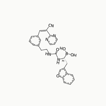 N#CC(=Cc1cccc(CCNC(=O)N[C@@H](Cc2coc3ccccc23)B(O)O)c1)c1ncccn1